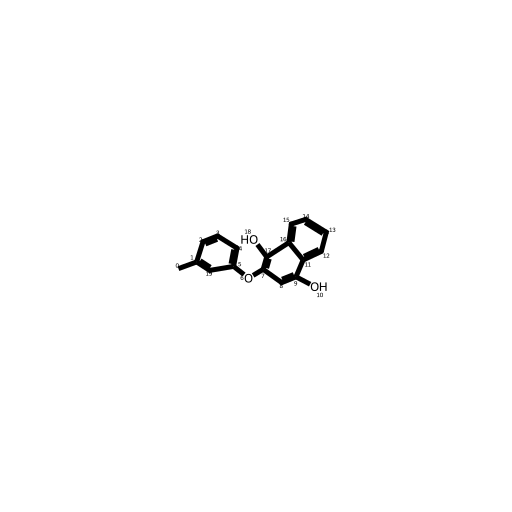 Cc1cccc(Oc2cc(O)c3ccccc3c2O)c1